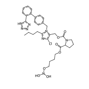 CCCCc1nc(Cl)c(COC(=O)N2CCCC2C(=O)OCCCCON(O)O)n1Cc1ccc(-c2ccccc2-c2nnn[nH]2)cc1